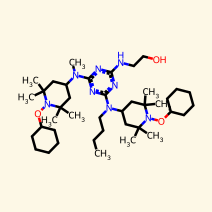 CCCCN(c1nc(NCCO)nc(N(C)C2CC(C)(C)N(OC3CCCCC3)C(C)(C)C2)n1)C1CC(C)(C)N(OC2CCCCC2)C(C)(C)C1